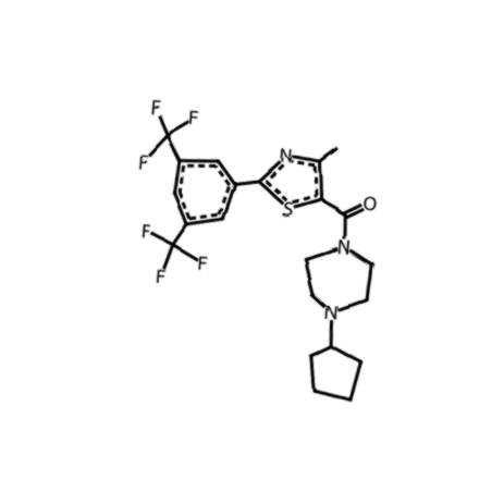 Cc1nc(-c2cc(C(F)(F)F)cc(C(F)(F)F)c2)sc1C(=O)N1CCN(C2CCCC2)CC1